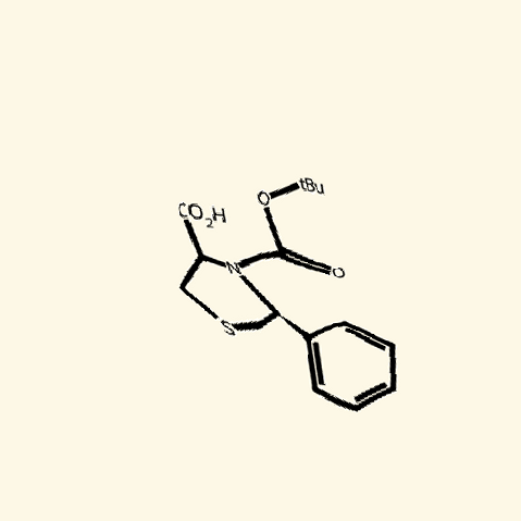 CC(C)(C)OC(=O)N1C(C(=O)O)CS[C@@H]1c1ccccc1